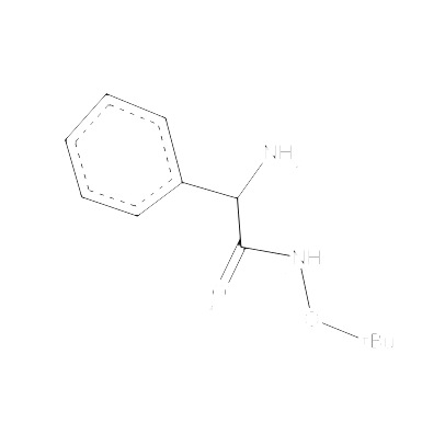 CC(C)(C)ONC(=O)C(N)c1ccccc1